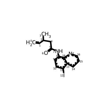 C=CC(C)CC(=O)Nc1ccc(I)c2cccnc12